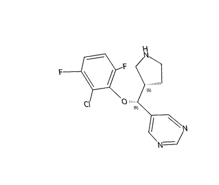 Fc1ccc(F)c(O[C@@H](c2cncnc2)[C@H]2CCNC2)c1Cl